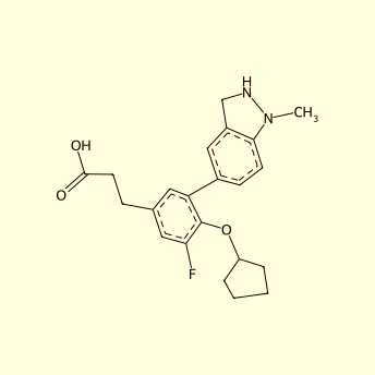 CN1NCc2cc(-c3cc(CCC(=O)O)cc(F)c3OC3CCCC3)ccc21